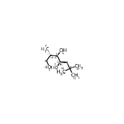 C[C@@H](CO)[C@@H](O)[C@H](O)CC(C)(C)C